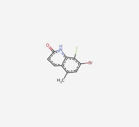 Cc1cc(Br)c(F)c2[nH]c(=O)ccc12